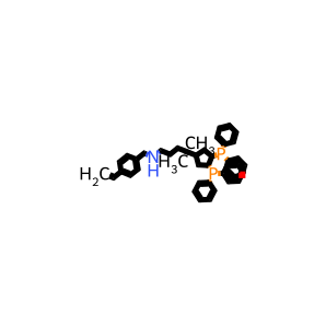 C=Cc1ccc(CNCCCC(C)(C)C2CC(P(c3ccccc3)c3ccccc3)C(P(c3ccccc3)c3ccccc3)C2)cc1